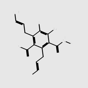 NC(=O)c1c(CC=CO)c(Br)c(Br)c(C(=O)NBr)c1CC=CO